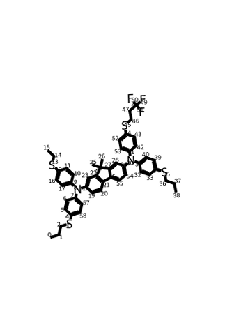 CCCSc1ccc(N(c2ccc(SCC)cc2)c2ccc3c(c2)C(C)(C)c2cc(N(c4ccc(SCCC)cc4)c4ccc(SCCC(F)(F)F)cc4)ccc2-3)cc1